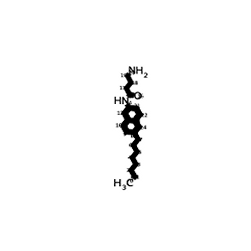 CCCCCCCCc1ccc2cc(NC(=O)CCCN)ccc2c1